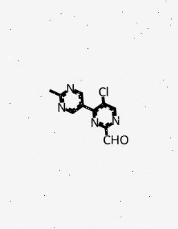 Cc1ncc(-c2nc(C=O)ncc2Cl)cn1